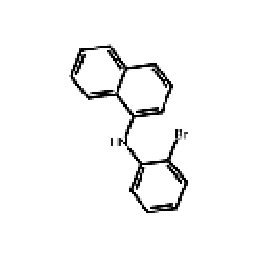 Brc1ccccc1Nc1cccc2ccccc12